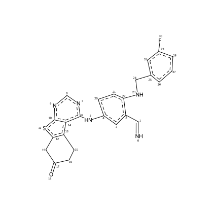 N=Cc1cc(Nc2ncnc3sc4c(c23)CCC(=O)C4)ccc1NCc1cccc(F)c1